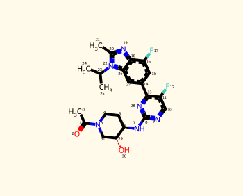 CC(=O)N1CC[C@@H](Nc2ncc(F)c(-c3cc(F)c4nc(C)n(C(C)C)c4c3)n2)[C@H](O)C1